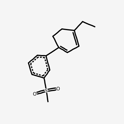 CCC1=CC=C(c2cccc(S(C)(=O)=O)c2)CC1